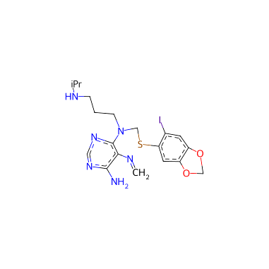 C=Nc1c(N)ncnc1N(CCCNC(C)C)CSc1cc2c(cc1I)OCO2